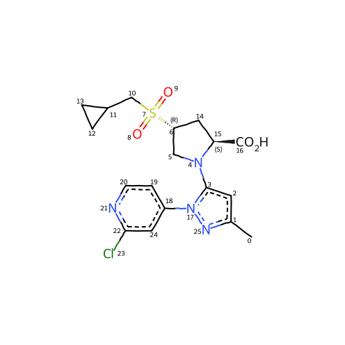 Cc1cc(N2C[C@H](S(=O)(=O)CC3CC3)C[C@H]2C(=O)O)n(-c2ccnc(Cl)c2)n1